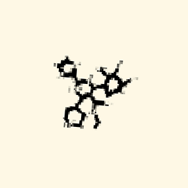 CCOC(=O)C1=C(C2CCNCC2)NC(c2nccs2)=NC1c1ccc(F)c(F)c1Cl